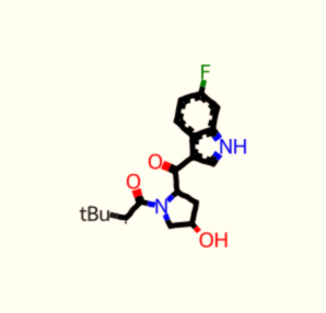 CC(C)(C)[CH]C(=O)N1CC(O)CC1C(=O)c1c[nH]c2cc(F)ccc12